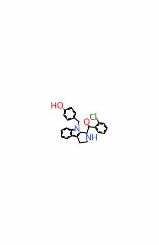 O=C(c1ccccc1Cl)C1NCCc2c1n(Cc1ccc(O)cc1)c1ccccc21